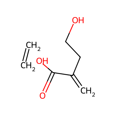 C=C.C=C(CCO)C(=O)O